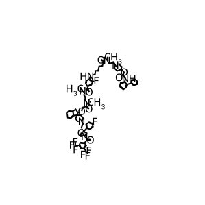 CN(CCN1CCC(OC(=O)Nc2ccccc2-c2ccccc2)CC1)C(=O)CCCCCNc1ccc(C(=O)N(C)CCCN(C)C(=O)CO[C@H]2Cc3ccccc3C23CCN(CC[C@@]2(c4ccc(F)cc4)CN(C(=O)c4cc(C(F)(F)F)cc(C(F)(F)F)c4)CO2)CC3)cc1F